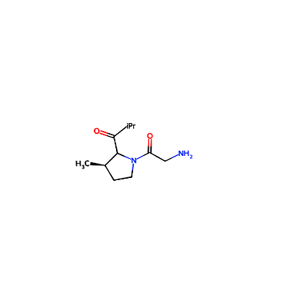 CC(C)C(=O)C1[C@H](C)CCN1C(=O)CN